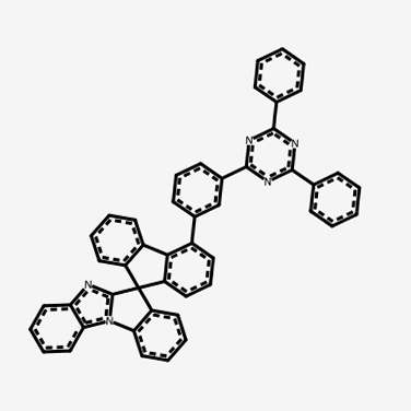 c1ccc(-c2nc(-c3ccccc3)nc(-c3cccc(-c4cccc5c4-c4ccccc4C54c5ccccc5-n5c4nc4ccccc45)c3)n2)cc1